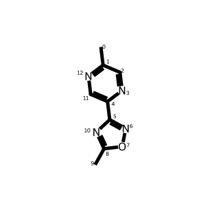 Cc1cnc(-c2noc(C)n2)cn1